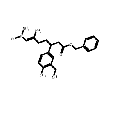 CCN(N)/C=C(\N)CCC(CC(=O)OCc1ccccc1)c1ccc(C)c(CO)c1